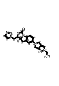 N#CCn1cc2c(n1)CN(c1ccc3c(c1)C[C@H]1C(Cn4ccnn4)OC(=O)N31)C2